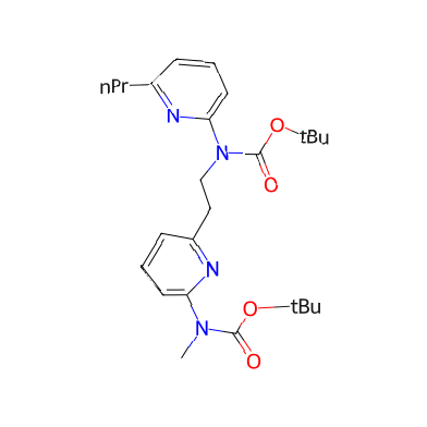 CCCc1cccc(N(CCc2cccc(N(C)C(=O)OC(C)(C)C)n2)C(=O)OC(C)(C)C)n1